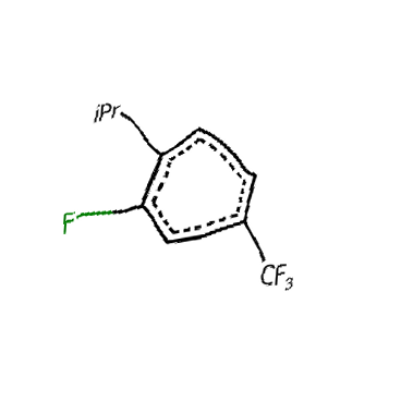 CC(C)c1ccc(C(F)(F)F)cc1F